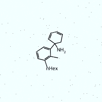 CCCCCCc1cccc(C2(N)C=CC=CC2)c1C